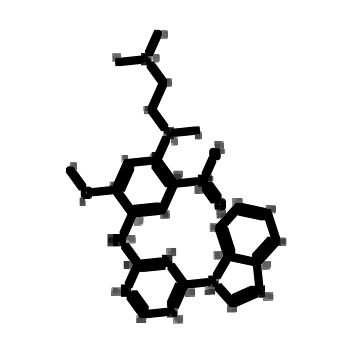 COc1cc(N(C)CCN(C)C)c([N+](=O)[O-])cc1Nc1ncnc(-n2cnc3ccccc32)n1